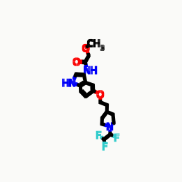 COCC(=O)Nc1c[nH]c2ccc(OCCC3CCN(C(F)C(F)F)CC3)cc12